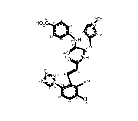 CCn1ccc(C[C@H](NC(=O)/C=C/c2c(-n3cnnn3)ccc(Cl)c2F)C(=O)Nc2ccc(C(=O)O)cc2)n1